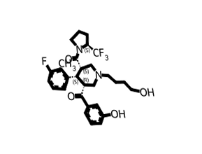 Cc1c(F)cccc1[C@H]1[C@@H](C(=O)c2cccc(O)c2)CN(CCCCO)C[C@H]1C(=O)N1CCC[C@H]1C(F)(F)F